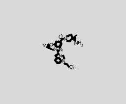 COc1cc(C(=O)N2CCC3(CC2)CC3N)cc2nc(-c3cc4cccc5c4n3CCN5CCCO)n(CC3CC3)c12